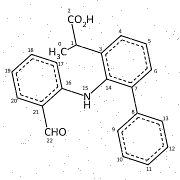 CC(C(=O)O)c1cccc(-c2ccccc2)c1Nc1ccccc1C=O